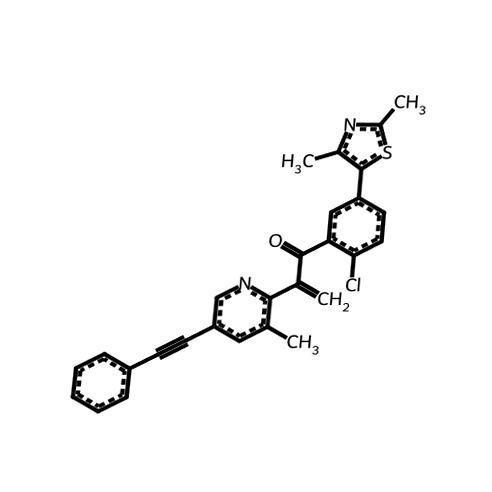 C=C(C(=O)c1cc(-c2sc(C)nc2C)ccc1Cl)c1ncc(C#Cc2ccccc2)cc1C